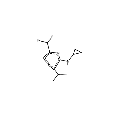 CC(C)c1ncc(C(F)F)nc1NC1CC1